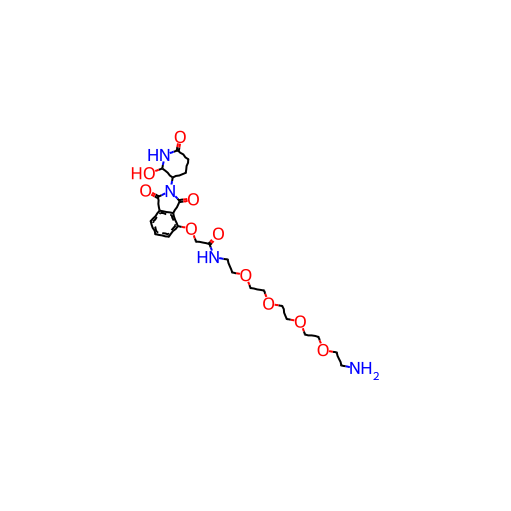 NCCOCCOCCOCCOCCNC(=O)COc1cccc2c1C(=O)N(C1CCC(=O)NC1O)C2=O